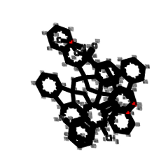 CCOC(=O)CCC1(CC2(CC3(CC4(CCC(=O)OCC)c5ccccc5-c5nc6ccccc6cc54)c4ccccc4-c4nc5ccccc5cc43)c3ccccc3-c3nc4ccccc4cc32)c2ccccc2-c2nc3ccccc3cc21